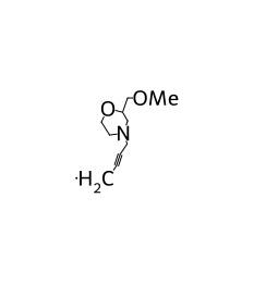 [CH2]C#CCN1CCOC(COC)C1